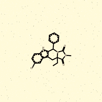 CCC12Cc3c([nH]c4ccc(Cl)cc34)C(c3ccccc3)N1C(=O)N(C)C2=O